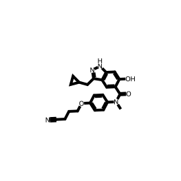 CN(C(=O)c1cc2c(CC3CC3)n[nH]c2cc1O)c1ccc(OCCCC#N)cc1